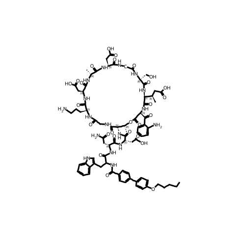 CCCCCOc1ccc(-c2ccc(C(=O)NC(Cc3c[nH]c4ccccc34)C(=O)N[C@H](CC(N)=O)C(=O)N[C@@H](CC(=O)O)C(=O)N[C@@H]3C(=O)NCC(=O)N[C@@H](CCCN)C(=O)N[C@@H](CC(=O)O)C(=O)N[C@H](C)C(=O)N[C@@H](CC(=O)O)C(=O)NCC(=O)N[C@H](CO)C(=O)N[C@@H]([C@H](C)CC(=O)O)C(=O)N[C@@H](C(=O)c4ccccc4N)C(=O)O[C@@H]3C)cc2)cc1